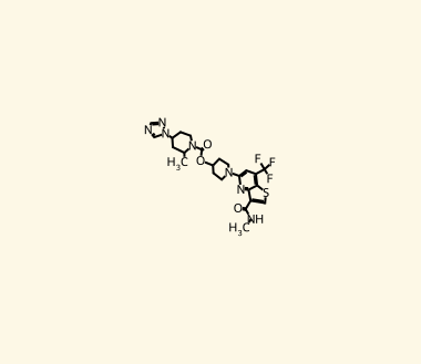 CNC(=O)c1csc2c(C(F)(F)F)cc(N3CCC(OC(=O)N4CCC(n5cncn5)CC4C)CC3)nc12